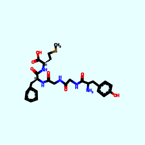 CSCC[C@H](NC(=O)[C@H](Cc1ccccc1)NC(=O)CNC(=O)CNC(=O)C(N)Cc1ccc(O)cc1)C(=O)O